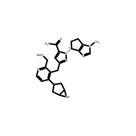 COCc1nccc(C2CC3NC3C2)c1Cc1cc(C(N)=O)n([C@@H]2CCc3c2ncn3C)n1